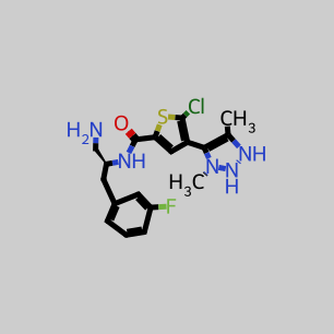 CC1=C(c2cc(C(=O)N[C@H](CN)Cc3cccc(F)c3)sc2Cl)N(C)NN1